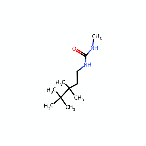 CNC(=O)NCCC(C)(C)C(C)(C)C